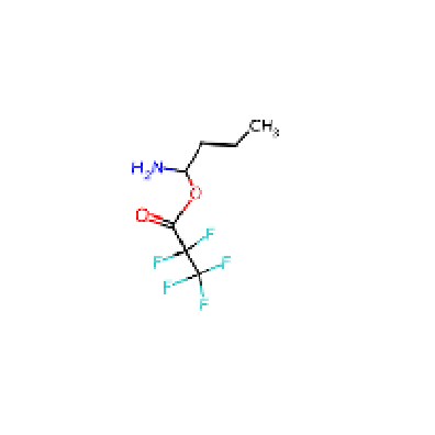 CCCC(N)OC(=O)C(F)(F)C(F)(F)F